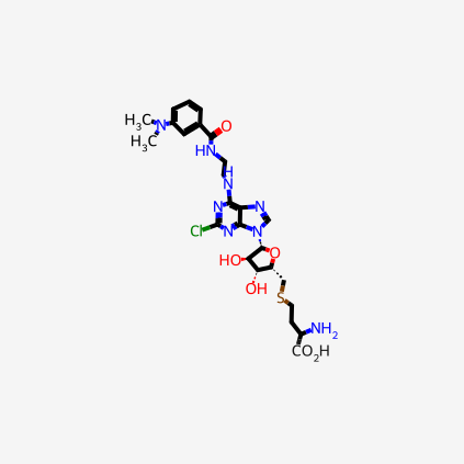 CN(C)c1cccc(C(=O)NCCNc2nc(Cl)nc3c2ncn3[C@@H]2O[C@H](CSCCC(N)C(=O)O)[C@H](O)[C@H]2O)c1